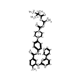 Cc1ccc(C(=O)Nc2ccc(N3CCN(C(=O)OC(C)OC(=O)C(C)(C)C)CC3)cc2)cc1Nc1nccc(-c2cccnc2)n1